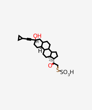 C[C@]12CCC3C(CCC4C[C@@](O)(C#CC5CC5)CC[C@@H]43)C1CC[C@@H]2C(=O)CSS(=O)(=O)O